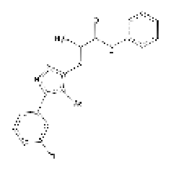 CC(=O)n1c(SC(C)C(=O)Nc2ccccc2)nnc1-c1ccnc(Cl)c1